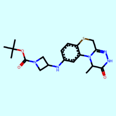 CC1C(=O)NN=C2CSc3ccc(NC4CN(C(=O)OC(C)(C)C)C4)cc3N21